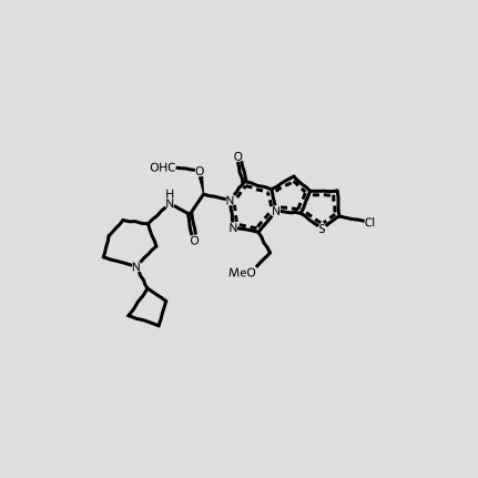 COCc1nn([C@H](OC=O)C(=O)NC2CCCN(C3CCC3)C2)c(=O)c2cc3cc(Cl)sc3n12